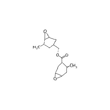 CC1CC2OC2CC1C(=O)OCC1CC(C)C2OC2C1